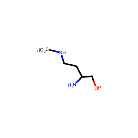 NC(CO)CCNC(=O)O